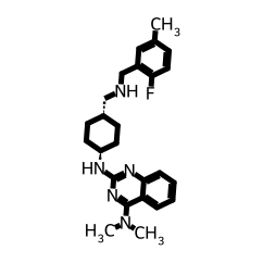 Cc1ccc(F)c(CNC[C@H]2CC[C@@H](Nc3nc(N(C)C)c4ccccc4n3)CC2)c1